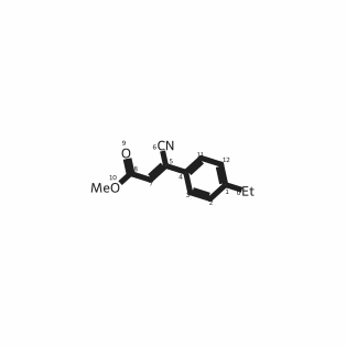 CCc1ccc(C(C#N)=CC(=O)OC)cc1